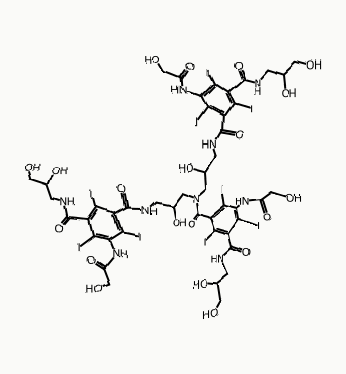 O=C(CO)Nc1c(I)c(C(=O)NCC(O)CO)c(I)c(C(=O)NCC(O)CN(CC(O)CNC(=O)c2c(I)c(NC(=O)CO)c(I)c(C(=O)NCC(O)CO)c2I)C(=O)c2c(I)c(NC(=O)CO)c(I)c(C(=O)NCC(O)CO)c2I)c1I